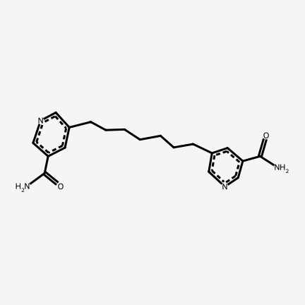 NC(=O)c1cncc(CCCCCCCc2cncc(C(N)=O)c2)c1